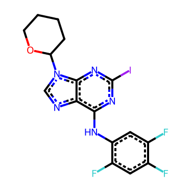 Fc1cc(F)c(Nc2nc(I)nc3c2ncn3C2CCCCO2)cc1F